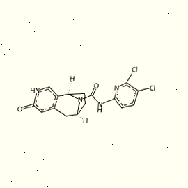 O=C(Nc1ccc(Cl)c(Cl)n1)N1[C@H]2CC[C@@H]1c1c[nH]c(=O)cc1C2